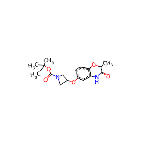 CC1Oc2ccc(OC3CN(C(=O)OC(C)(C)C)C3)cc2NC1=O